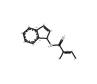 C/C=C(\C)C(=O)OC1C=Cc2ccccc21